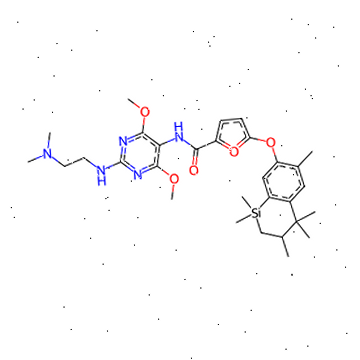 COc1nc(NCCN(C)C)nc(OC)c1NC(=O)c1ccc(Oc2cc3c(cc2C)C(C)(C)C(C)C[Si]3(C)C)o1